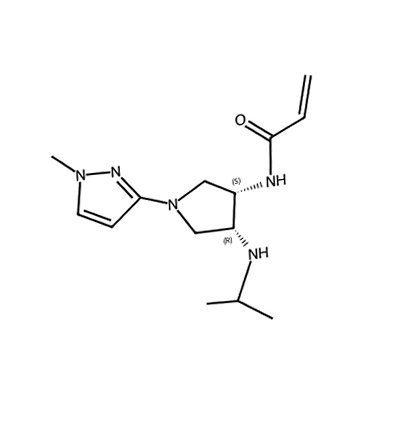 C=CC(=O)N[C@H]1CN(c2ccn(C)n2)C[C@H]1NC(C)C